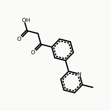 Cc1cccc(-c2cccc(C(=O)CC(=O)O)c2)n1